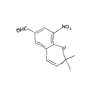 CC1(C)C=Cc2cc(C=O)cc([N+](=O)[O-])c2O1